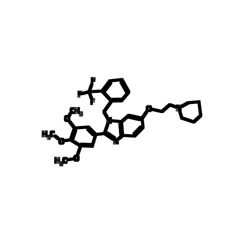 COc1cc(-c2nc3ccc(OCCN4CCCCC4)cc3n2Cc2ccccc2C(F)(F)F)cc(OC)c1OC